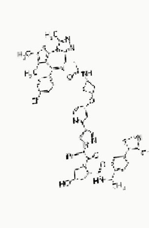 Cc1ncsc1-c1ccc([C@H](C)NC(=O)[C@@H]2C[C@@H](O)CN2C(=O)[C@@H](C(C)C)n2cc(-c3cc(O[C@H]4C[C@@H](NC(=O)C[C@@H]5N=C(c6ccc(Cl)cc6)c6c(sc(C)c6C)-n6c(C)nnc65)C4)ccn3)cn2)cc1